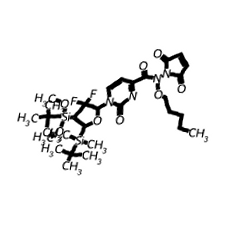 CCCCCON(C(=O)c1ccn(C2OC([Si](C)(C)C(C)(C)C)C([Si](OC)(OC)C(C)(C)C)C2(F)F)c(=O)n1)N1C(=O)C=CC1=O